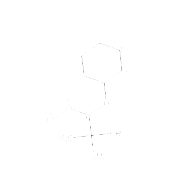 CC(C)(C)C(OCl)OC1CCCCC1